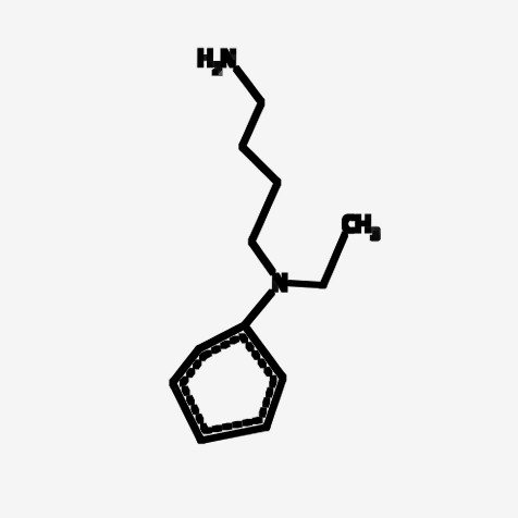 CCN(CCCCN)c1ccccc1